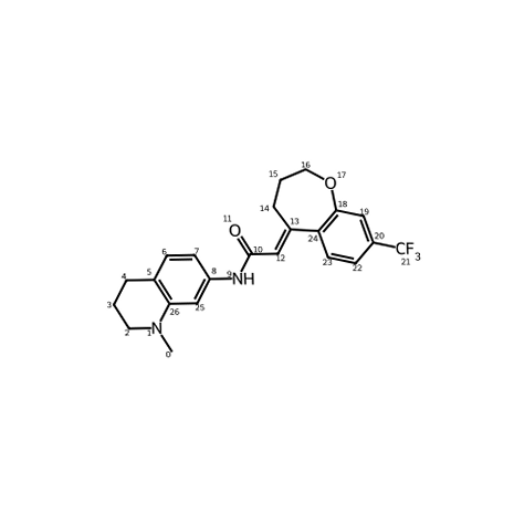 CN1CCCc2ccc(NC(=O)C=C3CCCOc4cc(C(F)(F)F)ccc43)cc21